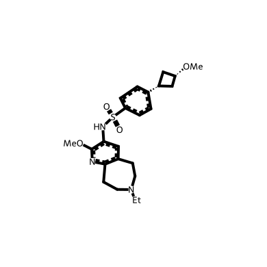 CCN1CCc2cc(NS(=O)(=O)c3ccc([C@H]4C[C@@H](OC)C4)cc3)c(OC)nc2CC1